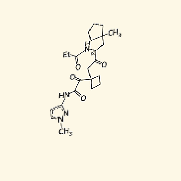 CCC(=O)N[C@@H](CC1(C)CCCC1)C(=O)CC1(C(=O)C(=O)Nc2ccn(C)n2)CCC1